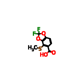 CSc1c(C(=O)O)ccc2c1OC(F)(F)O2